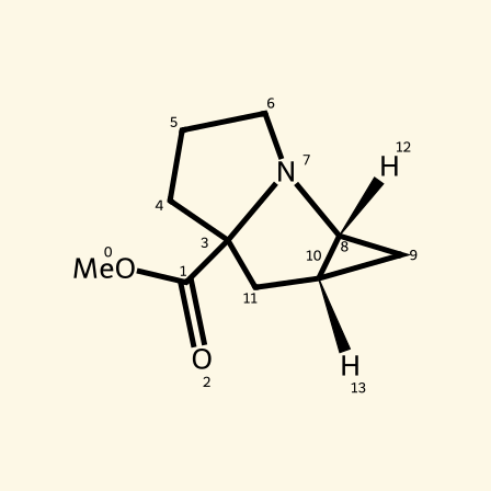 COC(=O)C12CCCN1[C@@H]1C[C@@H]1C2